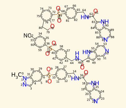 Cn1ncc2cc(S(=O)(=O)c3ccc(CNC(=O)c4cc5cnccc5[nH]4)cc3)ccc21.N#Cc1ccc(S(=O)(=O)c2ccc(CNC(=O)c3cc4cnccc4[nH]3)cc2)cc1.O=C(NCc1ccc(S(=O)(=O)c2cccc3c2OCC3)cc1)c1cc2cnccc2[nH]1